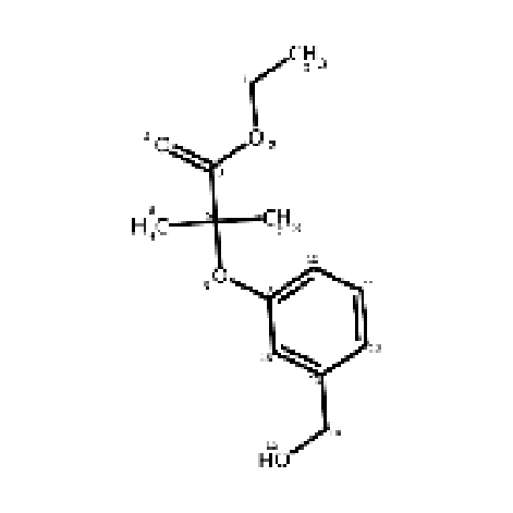 CCOC(=O)C(C)(C)Oc1cccc(CO)c1